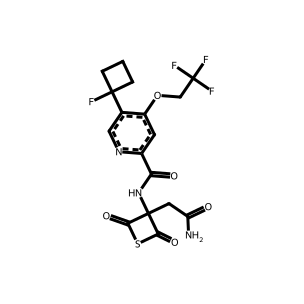 NC(=O)CC1(NC(=O)c2cc(OCC(F)(F)F)c(C3(F)CCC3)cn2)C(=O)SC1=O